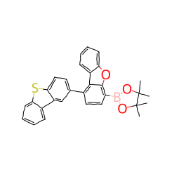 CC1(C)OB(c2ccc(-c3ccc4sc5ccccc5c4c3)c3c2oc2ccccc23)OC1(C)C